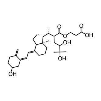 C=C1CC[C@H](O)C/C1=C/C=C1CCC[C@@]2(C)C1CC[C@@H]2[C@H](C)C(CC(O)C(C)(C)O)C(=O)OCCC(=O)O